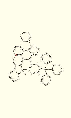 CC1(C)c2ccccc2-c2cccc(N(c3ccc4c(c3)C(c3ccccc3)(c3ccccc3)c3ccccc3-4)c3cccc(-c4ccccc4)c3-c3ccccc3)c21